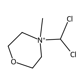 C[N+]1(C(Cl)Cl)CCOCC1